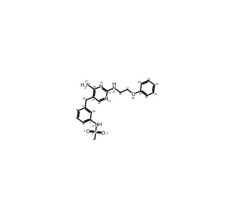 CS(=O)(=O)Nc1cccc(Cc2cnc(NCCOc3ccccc3)nc2N)c1